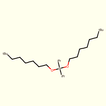 CC(C)[Si](OCCCCCCC(C)(C)C)(OCCCCCCC(C)(C)C)C(C)C